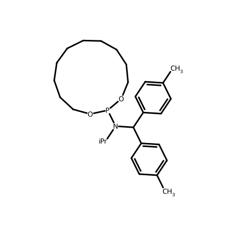 Cc1ccc(C(c2ccc(C)cc2)N(C(C)C)P2OCCCCCCCCCCO2)cc1